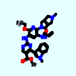 C=CC(=O)Nc1cc(Nc2ncc(C(=O)OC(C)C)c(-c3cn(C)c4ccccc34)n2)c(OCC(F)(F)F)nc1N1CC2CN(C)CC2C1